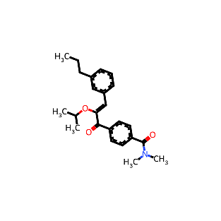 CCCc1cccc(C=C(OC(C)C)C(=O)c2ccc(C(=O)N(C)C)cc2)c1